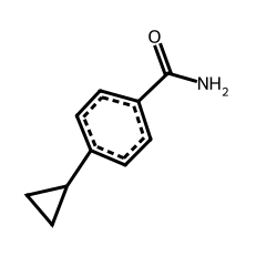 NC(=O)c1ccc(C2CC2)cc1